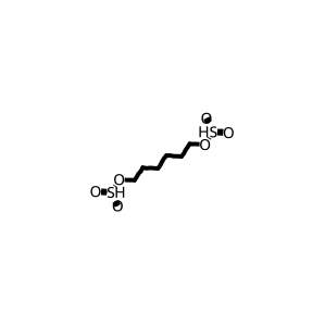 O=[SH](=O)OCCCCCCO[SH](=O)=O